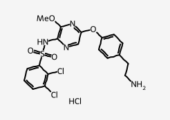 COc1nc(Oc2ccc(CCN)cc2)cnc1NS(=O)(=O)c1cccc(Cl)c1Cl.Cl